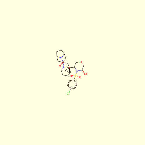 O=C(CC1([C@H]2COC[C@@H](O)N2S(=O)(=O)c2ccc(Cl)cc2)CC1)N1C2CCC1CC(N1CCCCC1)C2